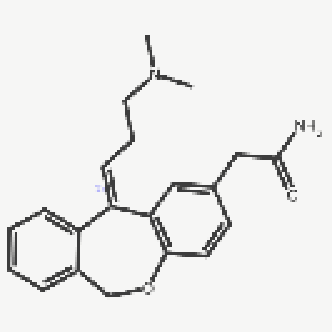 CN(C)CC/C=C1/c2ccccc2COc2ccc(CC(N)=O)cc21